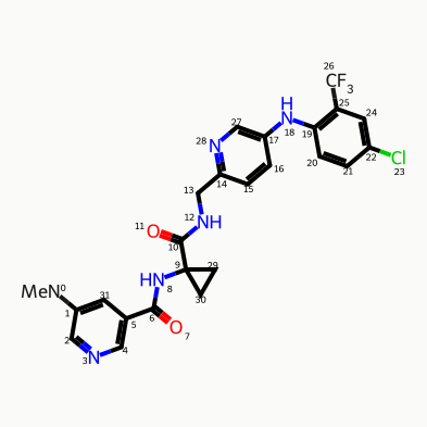 CNc1cncc(C(=O)NC2(C(=O)NCc3ccc(Nc4ccc(Cl)cc4C(F)(F)F)cn3)CC2)c1